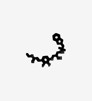 CCOC(=O)C=Cc1ccc(OCC(O)CNC(C)(C)CC2Cc3ccccc3C2)c(F)c1F